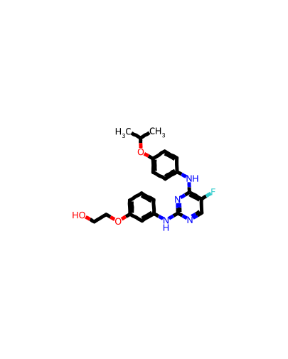 CC(C)Oc1ccc(Nc2nc(Nc3cccc(OCCO)c3)ncc2F)cc1